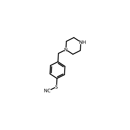 N#CSc1ccc(CN2CCNCC2)cc1